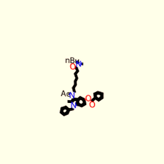 CCCCN(C)C(=O)CCCCCCCN(C(C)=O)c1c(C)n(Cc2ccccc2)c2ccc(OC(=O)c3ccccc3)cc12